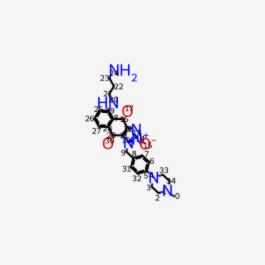 CN1CCN(c2ccc(Cn3c4c(n[n+]3[O-])C(=O)c3c(NCCCN)cccc3C4=O)cc2)CC1